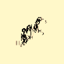 Cc1nn(C2CCN(C)CC2)cc1Nc1nccc(-c2cccc(-c3cc(C4(O)CCN(C)C4=O)on3)n2)n1